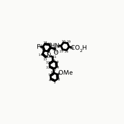 COc1ccccc1-c1ccc(Cn2ccc3c(F)ccc(C(=O)NC4CCC(C(=O)O)CC4)c32)cc1